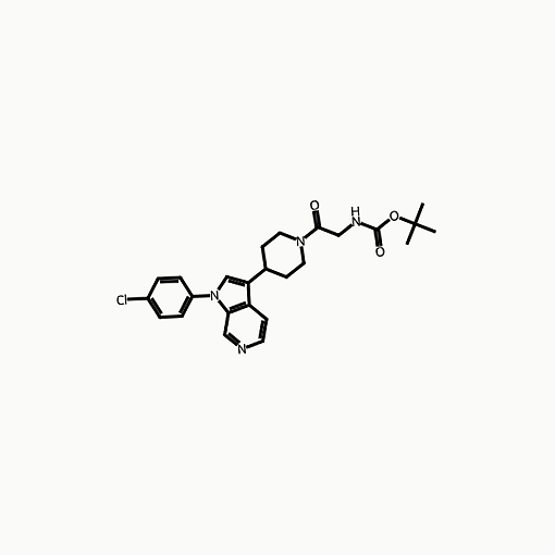 CC(C)(C)OC(=O)NCC(=O)N1CCC(c2cn(-c3ccc(Cl)cc3)c3cnccc23)CC1